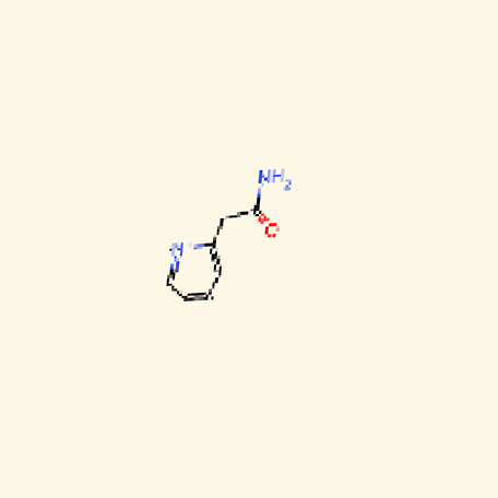 NC(=O)CC1=C[C]=CC=[N+]1